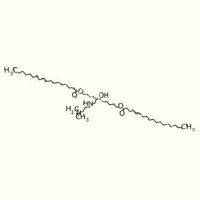 CCCCCCCCCCCCCCCCCC(=O)OCCCCCC(O)C(CCCCOC(=O)CCCCCCCCCCCCCCCCC)CNCCCN(C)C